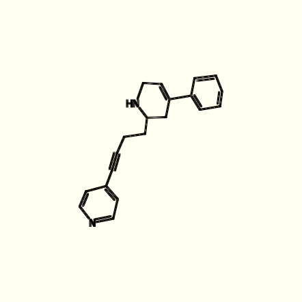 C(#Cc1ccncc1)CCC1CC(c2ccccc2)=CCN1